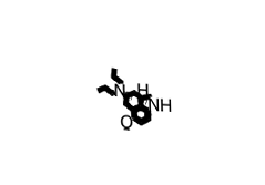 CCCN(CCC)[C@H]1Cc2c(OC)ccc3c2[C@H](CN3)C1